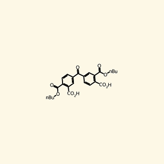 CCCCOC(=O)c1ccc(C(=O)c2ccc(C(=O)O)c(C(=O)OCCCC)c2)cc1C(=O)O